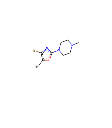 CC(C)c1oc(N2CCN(C)CC2)nc1Br